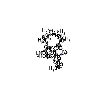 CNC(=O)c1ccccc1Sc1ccc2c(/C=C/c3ccccn3)nn(C(=O)N(CCO)CCC(=O)N[C@H](C(=O)N[C@H](CCCN)C(=O)N[C@H]3CCNC(=O)[C@@H]([C@@H](C)O)NC(=O)[C@@H](CCN)NC(=O)[C@@H](CCN)NC(=O)[C@@H](CC(C)C)NC(=O)[C@@H](Cc4ccccc4)NC(=O)[C@@H](CCN)NC3=O)[C@@H](C)O)c2c1